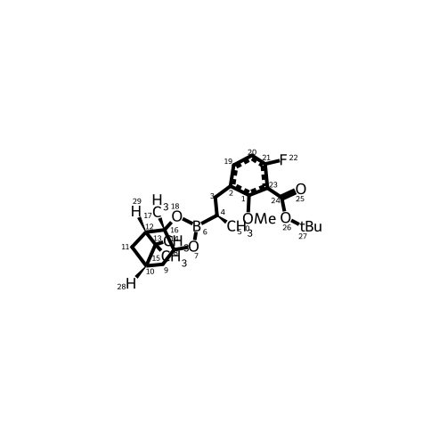 COc1c(C[C@@H](C)B2OC3C[C@@H]4C[C@@H](C4(C)C)[C@]3(C)O2)ccc(F)c1C(=O)OC(C)(C)C